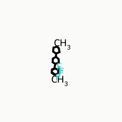 CC1=CC=C(C2CCC(C3CCC(C)CC3)CC2)C(F)(F)C1(F)F